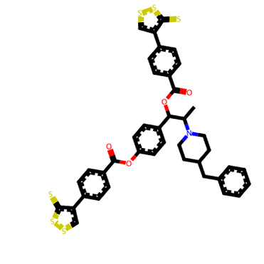 CC(C(OC(=O)c1ccc(-c2cssc2=S)cc1)c1ccc(OC(=O)c2ccc(-c3cssc3=S)cc2)cc1)N1CCC(Cc2ccccc2)CC1